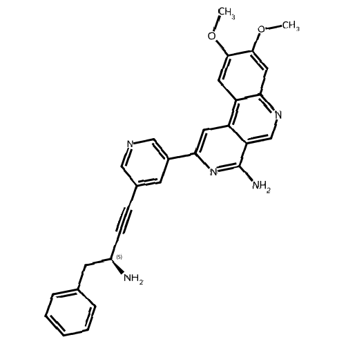 COc1cc2ncc3c(N)nc(-c4cncc(C#C[C@@H](N)Cc5ccccc5)c4)cc3c2cc1OC